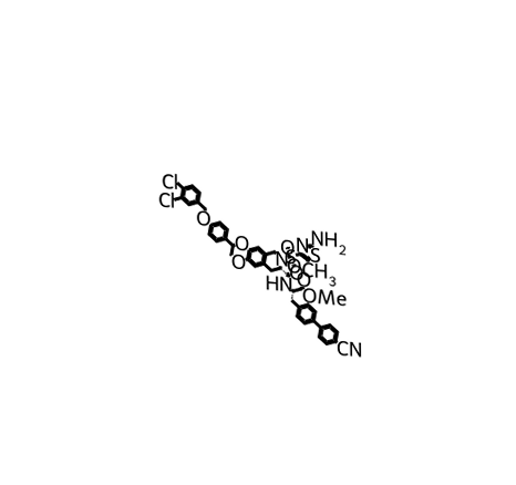 COC(=O)[C@H](Cc1ccc(-c2ccc(C#N)cc2)cc1)NC(=O)[C@@H]1Cc2cc3c(cc2CN1S(=O)(=O)c1nc(N)sc1C)OC(c1ccc(OCc2ccc(Cl)c(Cl)c2)cc1)CO3